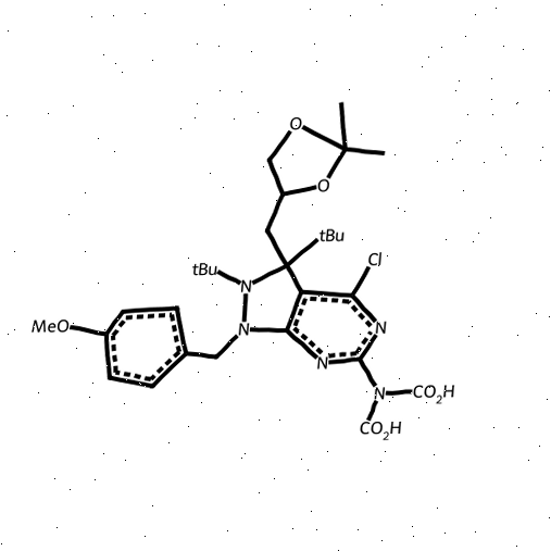 COc1ccc(CN2c3nc(N(C(=O)O)C(=O)O)nc(Cl)c3C(CC3COC(C)(C)O3)(C(C)(C)C)N2C(C)(C)C)cc1